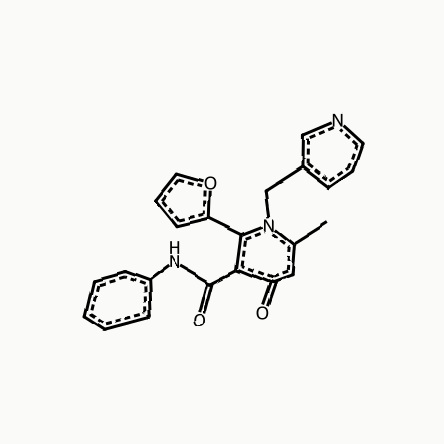 Cc1cc(=O)c(C(=O)Nc2ccccc2)c(-c2ccco2)n1Cc1cccnc1